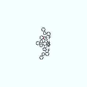 Fc1cccc(Oc2ccccc2)c1-c1ccc(-c2c(Oc3ccccc3)c(Oc3ccccc3)c(-c3ccc(-c4c(F)cccc4Oc4ccccc4)s3)c3nsnc23)s1